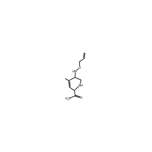 C=CCONC1CNC(C(N)=O)C=C1C